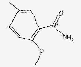 COc1c[c]c(C)cc1[N+](N)=O